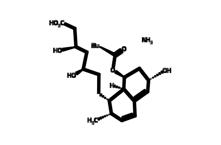 CC[C@H](C)C(=O)O[C@H]1C[C@H](O)C=C2C=C[C@H](C)[C@H](CC[C@@H](O)C[C@@H](O)CC(=O)O)[C@H]21.N